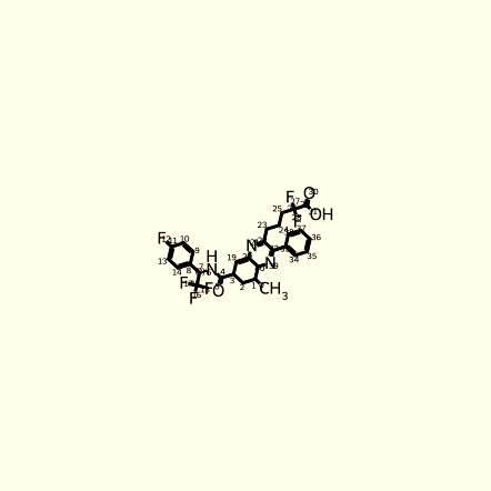 CC1CC(C(=O)N[C@H](c2ccc(F)cc2)C(F)(F)F)C=C2N=C(CCCC(F)(F)C(=O)O)C(c3ccccc3)=NC21